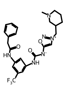 CN1CCCC(C[n+]2cc([N-]C(=O)Nc3cc(NC(=O)Cc4ccccc4)cc(C(F)(F)F)c3)on2)C1